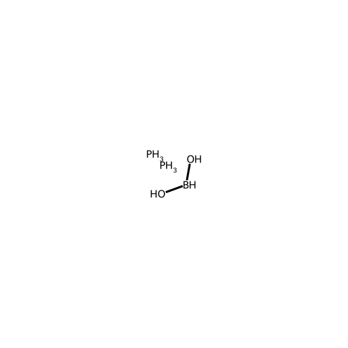 OBO.P.P